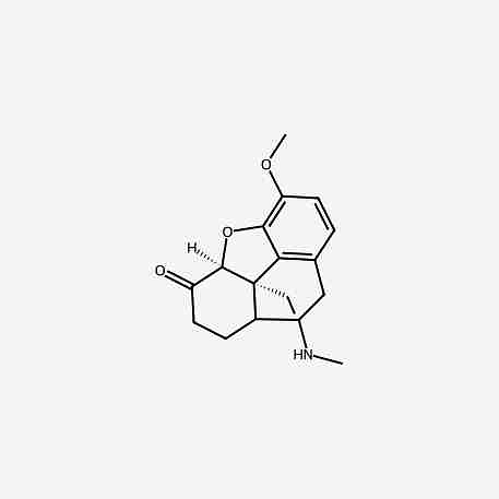 CC[C@@]12c3c4ccc(OC)c3O[C@@H]1C(=O)CCC2C(NC)C4